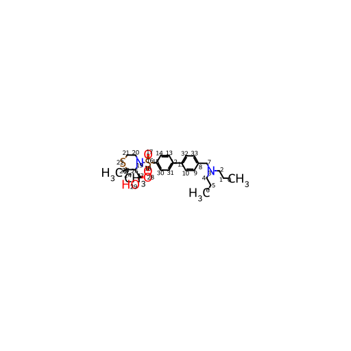 CCCN(CCC)Cc1ccc(-c2ccc(S(=O)(=O)N3CCSC(C)(C)[C@@H]3C(=O)O)cc2)cc1